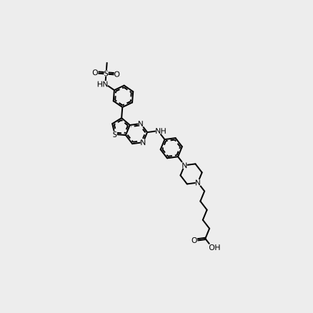 CS(=O)(=O)Nc1cccc(-c2csc3cnc(Nc4ccc(N5CCN(CCCCCC(=O)O)CC5)cc4)nc23)c1